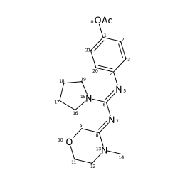 CC(=O)Oc1ccc(N=C(N=C2COCCN2C)N2CCCC2)cc1